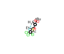 CCC(F)(F)C(CC(=O)c1ccc(C(=O)OC(C)(C)C)c(C)c1)(SC(C)=O)c1cc(Cl)c(Cl)c(Cl)c1